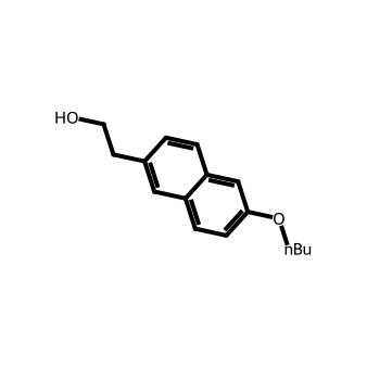 CCCCOc1ccc2cc(CCO)ccc2c1